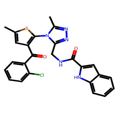 Cc1cc(C(=O)c2ccccc2Cl)c(-n2c(C)nnc2CNC(=O)c2cc3ccccc3[nH]2)s1